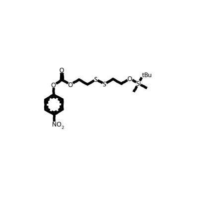 CC(C)(C)[Si](C)(C)OCCSSCCOC(=O)Oc1ccc([N+](=O)[O-])cc1